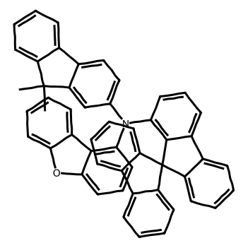 CC1(C)c2ccccc2-c2ccc(N(c3cccc4c3C3(c5ccccc5-c5ccccc53)c3ccccc3-4)c3cccc4oc5ccccc5c34)cc21